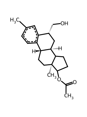 CC(=O)OC1CCC2[C@@H]3C[C@@H](CO)c4cc(C)ccc4[C@H]3CC[C@]12C